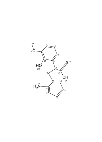 COc1cccc(C(Cc2ccccc2N)C(O)=S)c1O